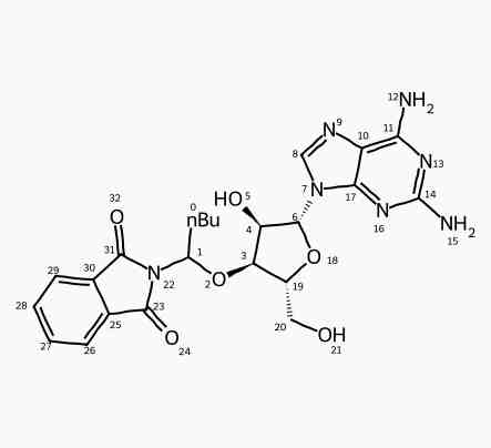 CCCCC(O[C@H]1[C@@H](O)[C@H](n2cnc3c(N)nc(N)nc32)O[C@@H]1CO)N1C(=O)c2ccccc2C1=O